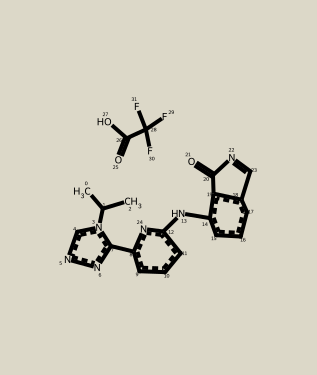 CC(C)n1cnnc1-c1cccc(Nc2cccc3c2C(=O)N=C3)n1.O=C(O)C(F)(F)F